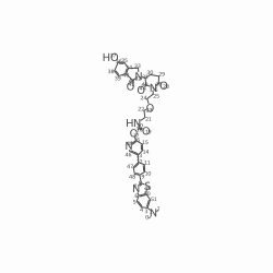 CN(C)c1ccc2nc(-c3ccc(-c4ccc(OC(=O)NCCOCCN5C(=O)CCC(N6Cc7cc(O)ccc7C6=O)C5=O)nc4)cc3)sc2c1